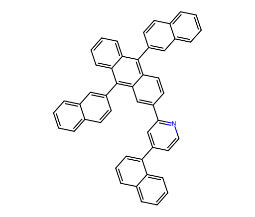 c1ccc2cc(-c3c4ccccc4c(-c4ccc5ccccc5c4)c4cc(-c5cc(-c6cccc7ccccc67)ccn5)ccc34)ccc2c1